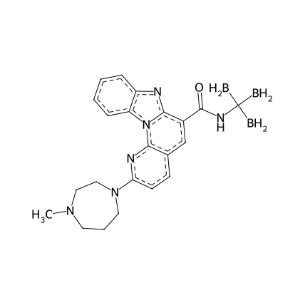 BC(B)(B)NC(=O)c1cc2ccc(N3CCCN(C)CC3)nc2n2c1nc1ccccc12